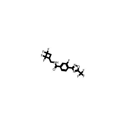 O=C(NCC1CC(F)(F)C1(F)F)c1ccc(-c2noc(C(F)(F)F)n2)c(F)c1